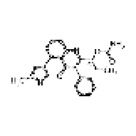 CC[C@H](OC(N)=O)c1nc2cccc(-c3cnn(C)c3)c2c(=O)n1-c1ccccc1